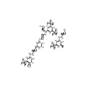 CON=C(C=NOCc1ccccc1)c1cc(C(F)(F)F)cc(C(F)(F)F)c1.CON=CCc1cc(F)cc(C(F)(F)F)c1.CON=CCc1ccc(Cl)c(C(F)(F)F)c1